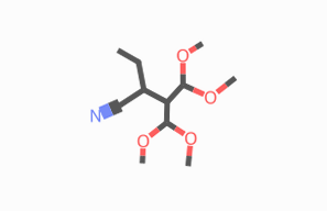 CCC(C#N)C(C(OC)OC)C(OC)OC